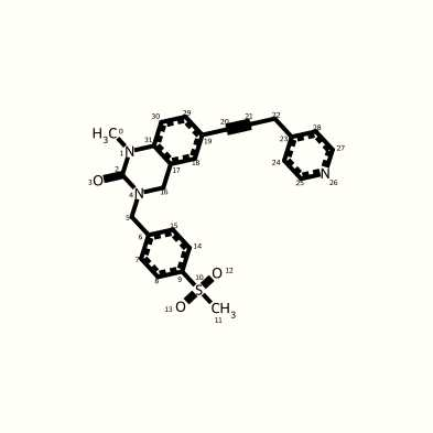 CN1C(=O)N(Cc2ccc(S(C)(=O)=O)cc2)Cc2cc(C#CCc3ccncc3)ccc21